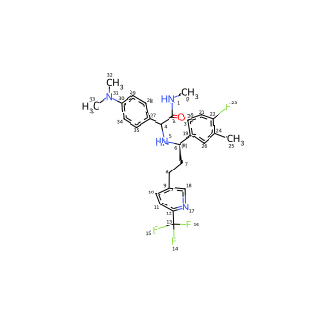 CNC(=O)C(N[C@H](CCc1ccc(C(F)(F)F)nc1)c1ccc(F)c(C)c1)c1ccc(N(C)C)cc1